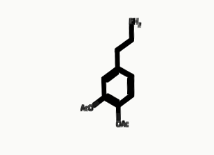 BCCc1ccc(OC(C)=O)c(OC(C)=O)c1